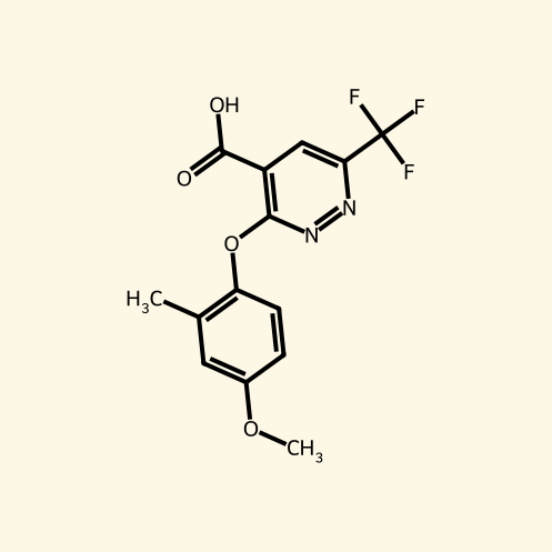 COc1ccc(Oc2nnc(C(F)(F)F)cc2C(=O)O)c(C)c1